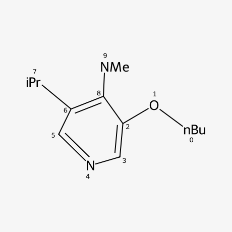 CCCCOc1cncc(C(C)C)c1NC